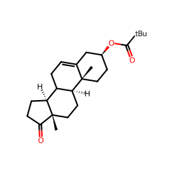 CC(C)(C)C(=O)O[C@H]1CC[C@@]2(C)C(=CCC3[C@@H]2CC[C@]2(C)C(=O)CC[C@@H]32)C1